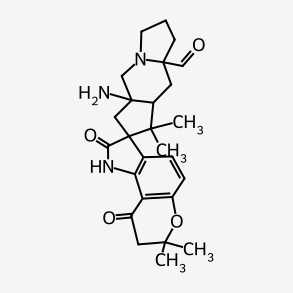 CC1(C)CC(=O)c2c(ccc3c2NC(=O)C32CC3(N)CN4CCCC4(C=O)CC3C2(C)C)O1